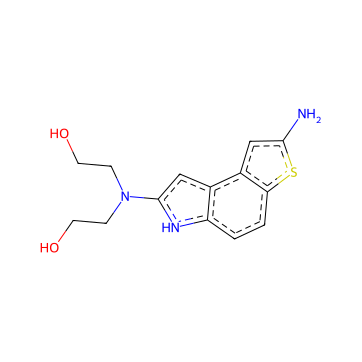 Nc1cc2c(ccc3[nH]c(N(CCO)CCO)cc32)s1